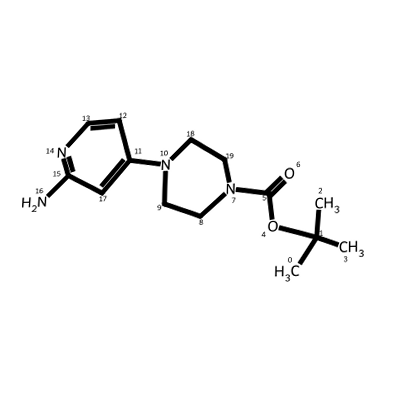 CC(C)(C)OC(=O)N1CCN(c2ccnc(N)c2)CC1